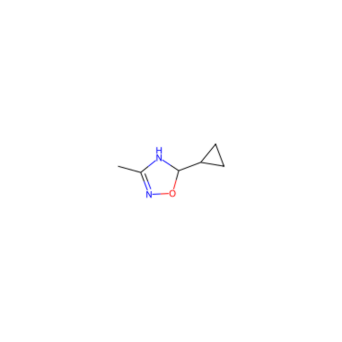 CC1=NOC(C2CC2)N1